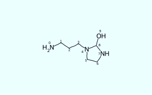 NCCCN1CCNC1O